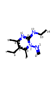 C=Nn1c(C)c(CC)c(C)n/c1=N/CC